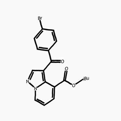 CCC(C)OC(=O)c1cccn2ncc(C(=O)c3ccc(Br)cc3)c12